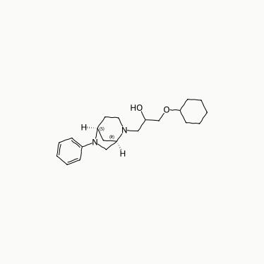 OC(COC1CCCCC1)CN1CC[C@H]2C[C@@H]1CN2c1ccccc1